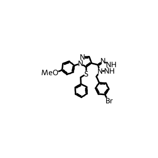 COc1ccc(-n2ncc(C3=NNNN3Cc3ccc(Br)cc3)c2SCc2ccccc2)cc1